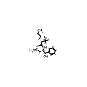 CCCC[C@@H](C(=O)N[C@@H](COC)[C@@H](O)c1ccccc1)C(F)(F)F